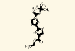 CCOC(=O)c1csc(-c2ccn(C(=O)OC(C)(C)C)n2)n1